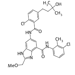 COCc1nc2c(C(=O)Nc3cccc(Cl)c3C)cc(NC(=O)c3cc(CCC(C)(C)O)ccc3Cl)cc2[nH]1